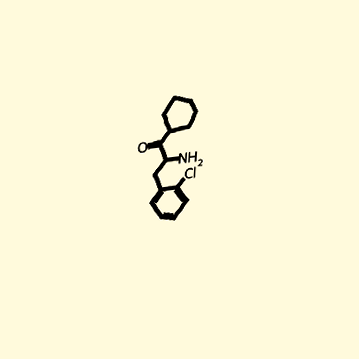 NC(Cc1ccccc1Cl)C(=O)C1CCCCC1